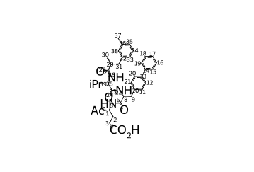 CC(=O)[C@H](CCC(=O)O)NC(=O)[C@H](Cc1ccc(-c2ccccc2)cc1)NC(=O)[C@@H](NC(=O)[C@@H](C)Cc1cccc(C)c1)C(C)C